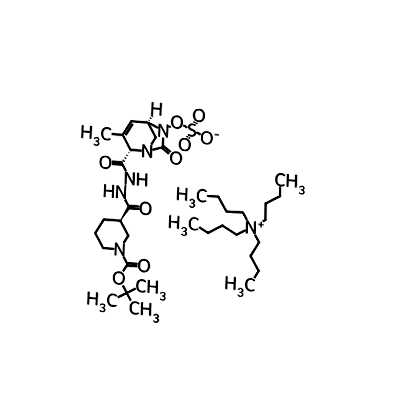 CC1=C[C@@H]2CN(C(=O)N2OS(=O)(=O)[O-])[C@@H]1C(=O)NNC(=O)[C@@H]1CCCN(C(=O)OC(C)(C)C)C1.CCCC[N+](CCCC)(CCCC)CCCC